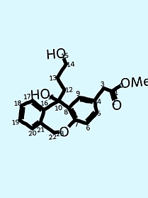 COC(=O)Cc1ccc2c(c1)C(O)(CCCO)c1ccccc1CO2